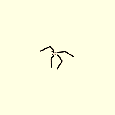 C[CH2][Zn]([CH2]C)([CH2]C)[CH2]C